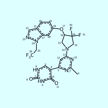 Cc1nc(-c2c[nH]c(=O)[nH]c2=O)cc(N2CC(Oc3ccc4cnn(CC(F)(F)F)c4c3)C(F)(F)C2)n1